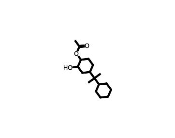 CC(=O)OC1CCC(C(C)(C)C2CCCCC2)CC1O